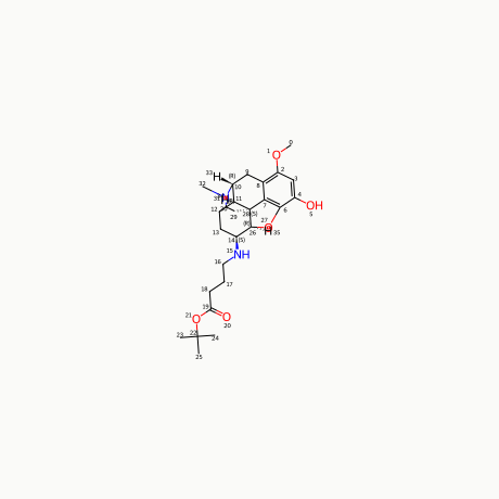 COc1cc(O)c2c3c1C[C@@H]1[C@@H]4CC[C@H](NCCCC(=O)OC(C)(C)C)[C@H](O2)[C@]34CCN1C